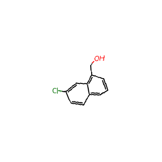 OCc1cccc2ccc(Cl)cc12